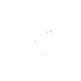 O=C(NCCc1ccccc1)c1nn2c(C(F)(F)F)cc(-c3ccccc3)nc2c1Cl